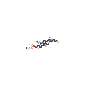 C=C1C2CC=C3C4=CC5(C)SC(CCC=O)=CC5N4Cc4sc(c2c43)-c2cc3sc(CCC(O)OC)cc3n21